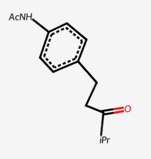 CC(=O)Nc1ccc(CCC(=O)C(C)C)cc1